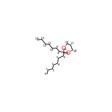 CCCCCCCC1(CCCCCCC)OCCCO1